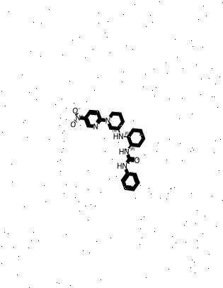 O=C(Nc1ccccc1)N[C@@H]1CCCC[C@H]1N[C@H]1CCCN(c2ccc([N+](=O)[O-])cn2)C1